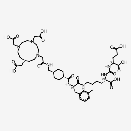 O=C(O)CC[C@H](NC(=O)N[C@@H](CCCCNC(=O)[C@H](Cc1cccc(I)c1)NC(=O)[C@H]1CC[C@H](CNC(=O)CN2CCN(CC(=O)O)CCN(CC(=O)O)CCN(CC(=O)O)CC2)CC1)C(=O)O)C(=O)O